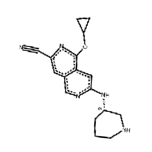 N#Cc1cc2cnc(N[C@H]3CCCNC3)cc2c(OC2CC2)n1